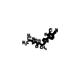 CC(Cn1ccc(-c2ccc(C#N)c(Cl)c2F)n1)NC(=O)c1nc(C(C)C)no1